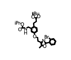 Cc1oc(-c2ccccc2Br)nc1CCOc1ccc(CCC(=O)OC(C)(C)C)c(CNC(=O)OC(C)C)c1